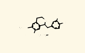 CNC.COc1cc2c(cc1C(=O)O)C(Cc1ccc(Cl)c(Cl)c1)NCC2